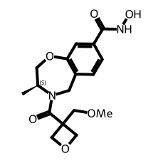 COCC1(C(=O)N2Cc3ccc(C(=O)NO)cc3OC[C@@H]2C)COC1